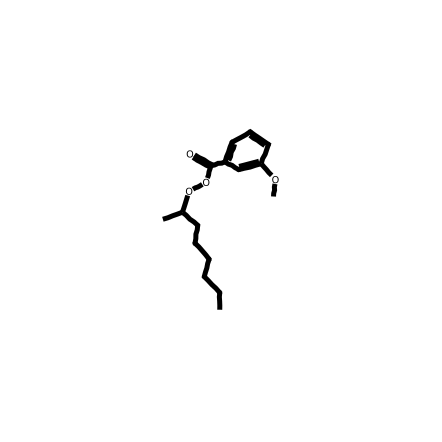 CCCCCC[C](C)OOC(=O)c1cccc(OC)c1